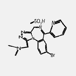 CN(C)Cc1nnc2n1-c1ccc(Br)cc1C(c1ccccn1)=NC2.CS(=O)(=O)O